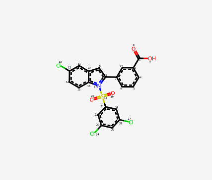 O=C(O)c1cccc(-c2cc3cc(Cl)ccc3n2S(=O)(=O)c2cc(Cl)cc(Cl)c2)c1